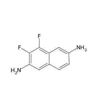 Nc1ccc2cc(N)c(F)c(F)c2c1